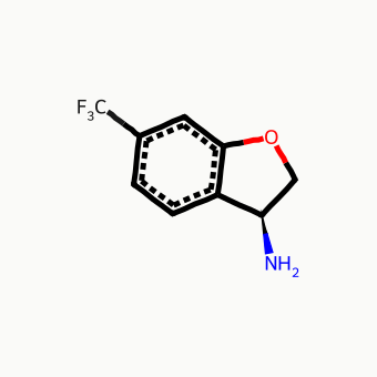 N[C@@H]1COc2cc(C(F)(F)F)ccc21